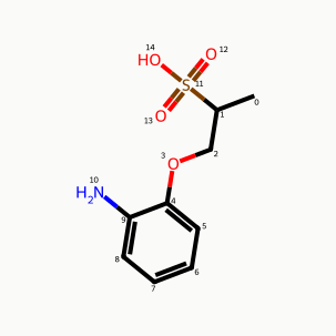 CC(COc1ccccc1N)S(=O)(=O)O